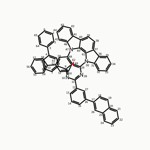 c1ccc(-c2cccc(-c3nc(-c4cccc(-c5ccc6ccccc6c5)c4)nc(-n4c5ccccc5c5ccc6c7ccccc7n(-c7cccc(-c8ccccc8)c7)c6c54)n3)c2)cc1